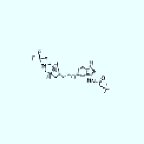 CC(C)(C)CC(=O)Nc1c[nH]c2ccc(OCCC3C[C@@H]4CN(CC(F)(F)F)C[C@@H]4C3)cc12